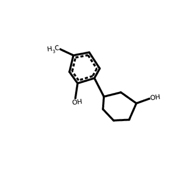 Cc1ccc(C2CCCC(O)C2)c(O)c1